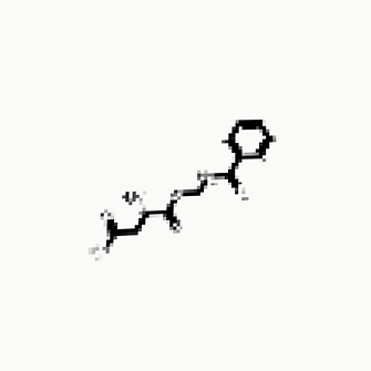 NC(=O)C[C@H](N)C(=O)OCNC(=O)c1ccccc1